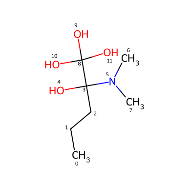 CCCC(O)(N(C)C)C(O)(O)O